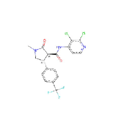 CN1C[C@@H](c2ccc(C(F)(F)F)cc2)[C@H](C(=O)Nc2ccnc(Cl)c2Cl)C1=O